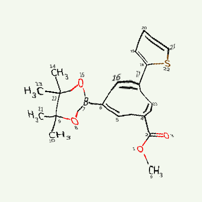 COC(=O)c1cc(B2OC(C)(C)C(C)(C)O2)cc(-c2cccs2)c1